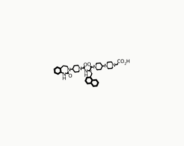 O=C(O)CN1CCN(C2CCN(C(=O)[C@@H](Cc3cccc4ccccc34)NC(=O)N3CCC(N4CCc5ccccc5NC4=O)CC3)CC2)CC1